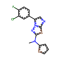 CN(c1cccs1)c1nn2c(-c3ccc(F)c(Cl)c3)cnc2s1